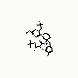 COC(=O)C[C@@H](CC(F)(F)F)C(=O)N1CCC[C@](Cc2ccc(Cl)cc2)(NC(=O)[C@@H](N)[C@H](C)OC(C)(C)C)C1